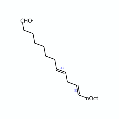 CCCCCCCC/C=C/C/C=C/CCCCCC[C]=O